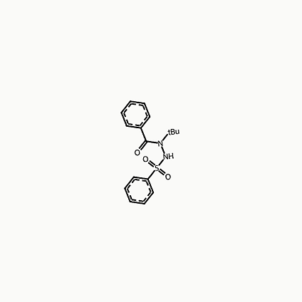 CC(C)(C)N(NS(=O)(=O)c1ccccc1)C(=O)c1ccccc1